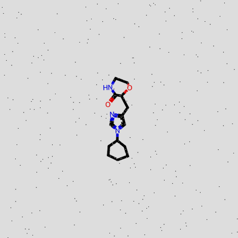 O=C1NCCOC1Cc1cn(C2CCCCC2)cn1